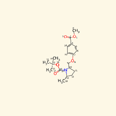 COC(=O)c1ccc(OCC2CCC(C)N2C(=O)OC(C)(C)C)cc1